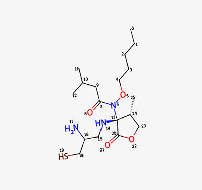 CCCCCON(C(=O)CC(C)C)[C@@]1(NCC(N)CS)C(=O)OC[C@H]1C